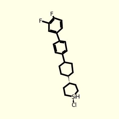 Fc1ccc(-c2ccc(C3CCC([C@H]4CC[Si@H](Cl)CC4)CC3)cc2)cc1F